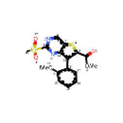 COC(=O)c1sc2cnc(S(C)(=O)=O)nc2c1-c1ccccc1OC